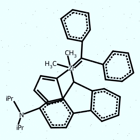 CC(C)N(c1ccc2c(c1)[CH]([Zr]([CH3])([CH3])([C]1=CC=CC1)=[C](c1ccccc1)c1ccccc1)c1ccccc1-2)C(C)C